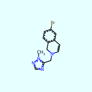 Cn1ncnc1CN1C=Cc2cc(Br)ccc2C1